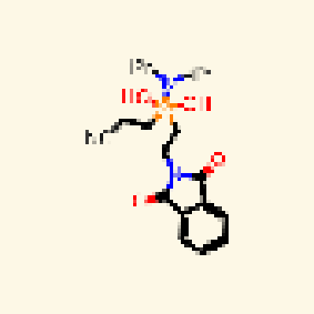 CC(C)N(C(C)C)P(O)(O)(CCC#N)CCN1C(=O)c2ccccc2C1=O